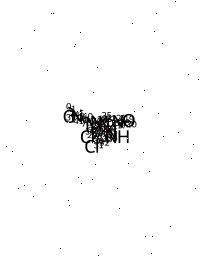 C=CC(=O)N1CC2(CC(n3nc(N4CCC(N5CC(OC)C5)CC4(C)C)c(-c4c(Cl)c(Cl)cc5[nH]ncc45)c3C)C2)C1